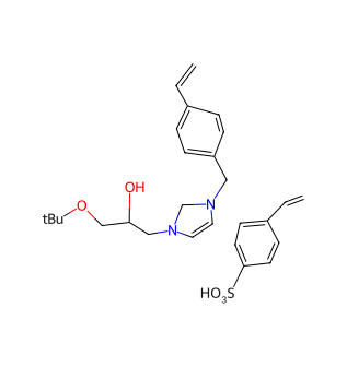 C=Cc1ccc(CN2C=CN(CC(O)COC(C)(C)C)C2)cc1.C=Cc1ccc(S(=O)(=O)O)cc1